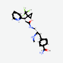 CN[C@H](CNC(=O)C[C@H](c1ccccn1)C1(C(F)(F)F)CC1)Cc1ccc(C(N)=O)cc1